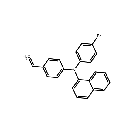 C=Cc1ccc(N(c2ccc(Br)cc2)c2cccc3ccccc23)cc1